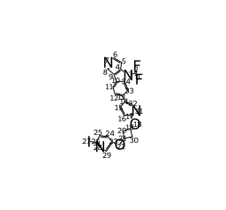 FC(F)n1c2ccncc2c2ccc(-c3ccc(O[C@H]4C[C@H](Oc5ccc(I)nc5)C4)nc3)cc21